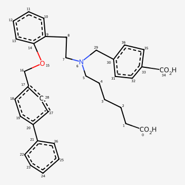 O=C(O)CCCCCN(CCc1ccccc1OCc1ccc(-c2ccccc2)cc1)Cc1ccc(C(=O)O)cc1